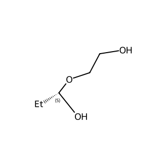 CC[C@@H](O)OCCO